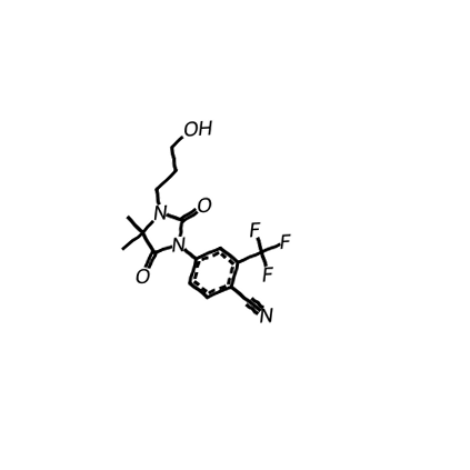 CC1(C)C(=O)N(c2ccc(C#N)c(C(F)(F)F)c2)C(=O)N1CCCO